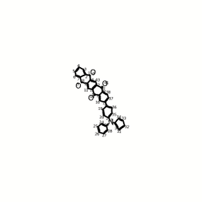 O=c1c2ccccc2c(=O)c2cc3c(=O)c4cc(-c5ccc(N(c6ccccc6)c6ccccc6)cc5)ccc4c(=O)c3cc12